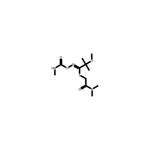 CNC(=O)ON=C(SCC(=O)N(C)C)C(C)(C)OC